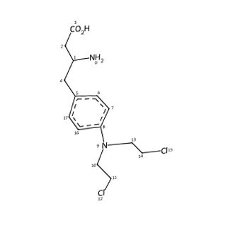 NC(CC(=O)O)Cc1ccc(N(CCCl)CCCl)cc1